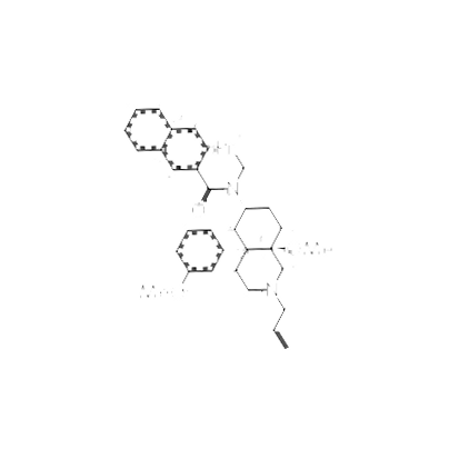 C=CCN1CC[C@@]2(c3cccc(OC)c3)C[C@H](N(CC(C)C)C(=O)c3ccc4ccccc4c3)CC[C@]2(OC)C1